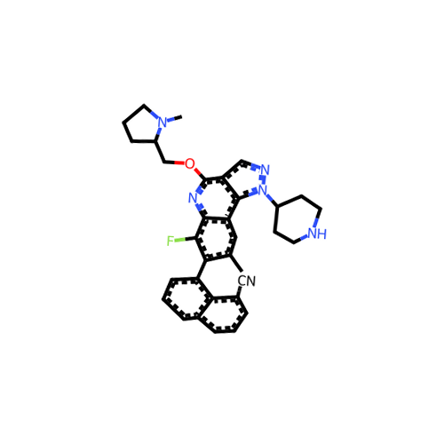 Cc1cc2c(nc(OCC3CCCN3C)c3cnn(C4CCNCC4)c32)c(F)c1-c1cccc2cccc(C#N)c12